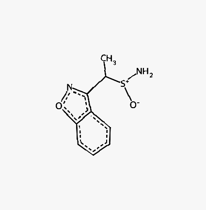 CC(c1noc2ccccc12)[S+](N)[O-]